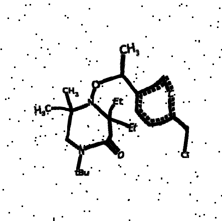 CCC1(CC)C(=O)N(C(C)(C)C)CC(C)(C)N1OC(C)c1ccc(CCl)cc1